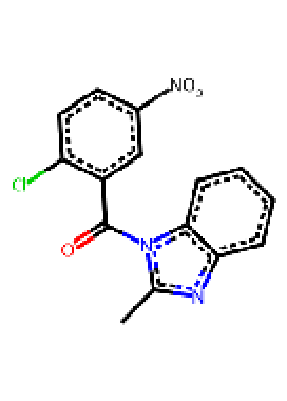 Cc1nc2ccccc2n1C(=O)c1cc([N+](=O)[O-])ccc1Cl